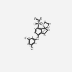 O=S(=O)(c1ccc(Oc2cc(F)cc(Cl)c2)c2c1C1(CC2)OCCO1)C(F)F